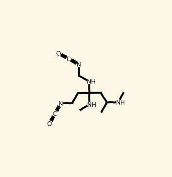 CNC(C)CC(CCN=C=O)(NC)NCN=C=O